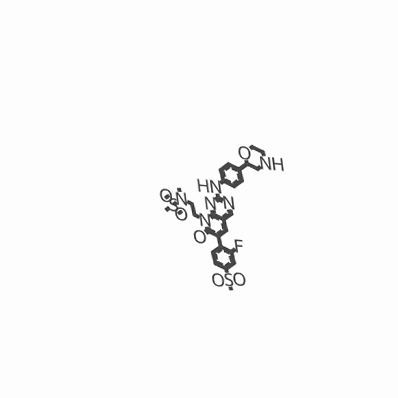 CN(CCn1c(=O)c(-c2ccc(S(C)(=O)=O)cc2F)cc2cnc(Nc3ccc(C4CNCCO4)cc3)nc21)S(C)(=O)=O